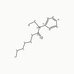 CCCCCCC(=O)N(CC)c1ccccc1